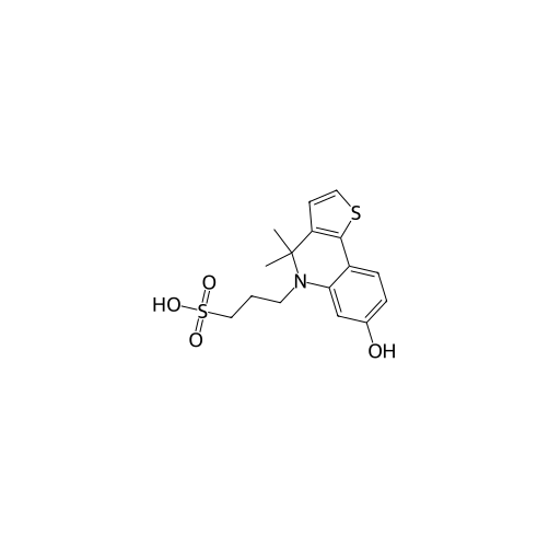 CC1(C)c2ccsc2-c2ccc(O)cc2N1CCCS(=O)(=O)O